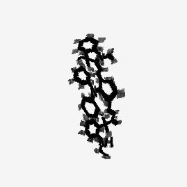 C=C(/C=C/C1=C(N(C2=CCCC=C2)c2ccccc2)C(=C/C=C2/N(CC)c3ccccc3C2(C)C)/CC1)C(C)(C)c1ccccc1NCC